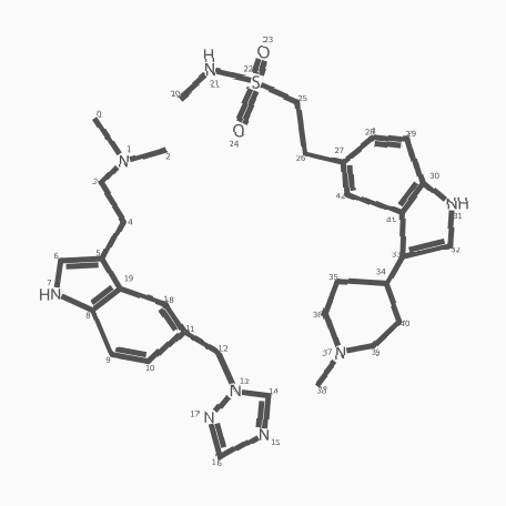 CN(C)CCc1c[nH]c2ccc(Cn3cncn3)cc12.CNS(=O)(=O)CCc1ccc2[nH]cc(C3CCN(C)CC3)c2c1